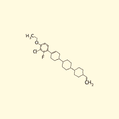 C=CC1CCC(C2CCC(C3CC=C(c4ccc(OCC)c(Cl)c4F)CC3)CC2)CC1